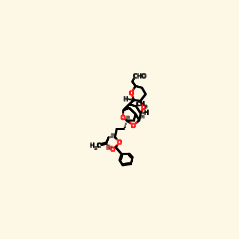 C=C(Br)C[C@H](CC[C@@]12CC3CC(O1)C1C(C)[C@@H](OC4CCC(CC=O)O[C@@H]41)C3O2)OC(=O)c1ccccc1